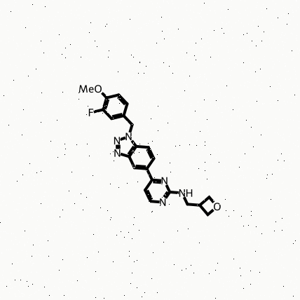 COc1ccc(Cn2nnc3cc(-c4ccnc(NCC5COC5)n4)ccc32)cc1F